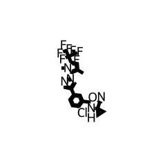 Cc1cc(C(F)(C(F)(F)F)C(F)(F)F)n(C)c1-n1cc(-c2ccc(Cl)c(C(=O)NC3(C#N)CC3)c2)cn1